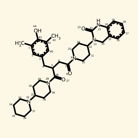 Cc1cc(CC(CC(=O)N2CCC(N3Cc4ccccc4NC3=O)CC2)C(=O)N2CCC(N3CCCCC3)CC2)cc(C)c1O